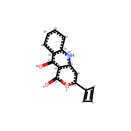 O=c1oc(C2=CC=C2)cc2[nH]c3ccccc3c(=O)c12